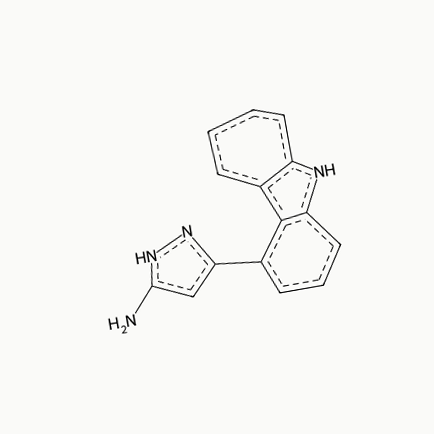 Nc1cc(-c2cccc3[nH]c4ccccc4c23)n[nH]1